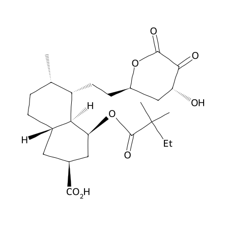 CCC(C)(C)C(=O)O[C@H]1C[C@@H](C(=O)O)C[C@@H]2CC[C@H](C)[C@H](CC[C@@H]3C[C@@H](O)C(=O)C(=O)O3)[C@H]21